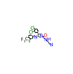 CN(C)CCCNCC(=O)N1C[C@H](c2ccc(Cl)c(Cl)c2)[C@@H](N(C)Cc2ccc(C(F)(F)F)c(F)c2)C1